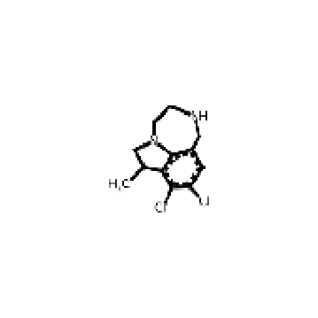 CC1CN2CCNCc3cc(Cl)c(Cl)c1c32